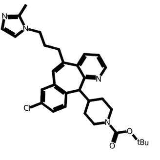 Cc1nccn1CCCC1=Cc2cc(Cl)ccc2C(C2CCN(C(=O)OC(C)(C)C)CC2)c2ncccc21